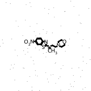 CN(CCN1CCOCC1)c1nc2ccc([N+](=O)[O-])cc2s1